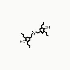 CCCc1cc(CC[Si](C)(C)CCc2cc(CCC)c(O)c(CCC)c2)cc(CCC)c1O